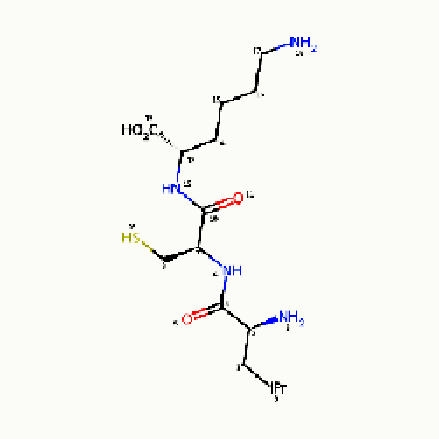 CC(C)C[C@H](N)C(=O)N[C@@H](CS)C(=O)N[C@@H](CCCCN)C(=O)O